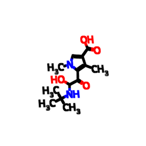 Cc1c(C(=O)O)cn(C)c1C(=O)C(O)NC(C)(C)C